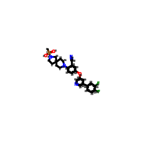 CS(=O)(=O)N1CCC2(CCN(c3ccc(Oc4cncc(-c5ccc(F)c(F)c5)c4)cc3C#N)CC2)C1